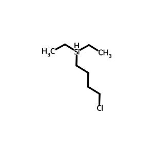 CC[SiH](CC)CCCCCl